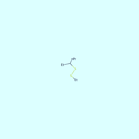 CCCC(CC)SSCC